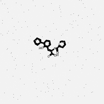 O=C(O)/C(=C/c1cccc(-c2ccccc2)c1O)NC(=O)c1ccccc1